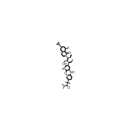 C=C/C(=C(CO)\C(=C/C)c1cc(Nc2ccc(C(C)(C)C(=O)N(C)C)cn2)c(=O)n(C)c1)n1ccc2cc(C3CC3)cc(F)c2c1=O